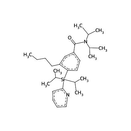 CCCCc1cc(C(=O)N(C(C)C)C(C)C)ccc1[Si](c1ccccn1)(C(C)C)C(C)C